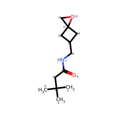 CC(C)(C)CC(=O)NCC1CC2(CO2)C1